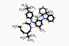 C=C1/C=C\C(C(C)(C)C)=C/C/C(N(c2ccc(C(C)(C)C)cc2)c2cc(C)cc(N3c4ccccc4C4(C)CCCCC34C)c2Cl)=C\S1